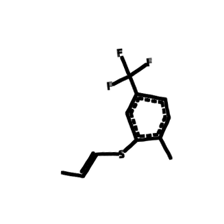 C/C=C/Sc1cc(C(F)(F)F)ccc1C